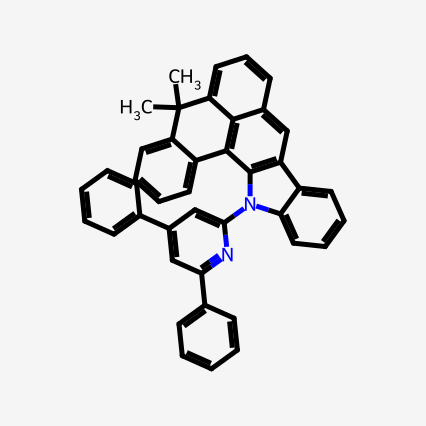 CC1(C)c2ccccc2-c2c3c1cccc3cc1c3ccccc3n(-c3cc(-c4ccccc4)cc(-c4ccccc4)n3)c21